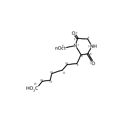 CCCCCCCCN1C(=O)CNC(=O)C1CCCCCCC(=O)O